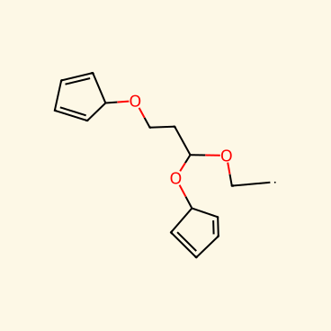 [CH2]COC(CCOC1C=CC=C1)OC1C=CC=C1